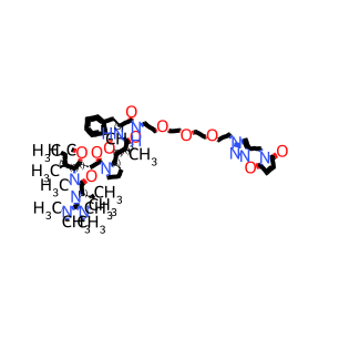 CC[C@H](C)[C@@H]([C@@H](CC(=O)N1CCC[C@H]1[C@H](OC)[C@@H](C)C(=O)N[C@@H](Cc1ccccc1)C(=O)NCCOCCOCCOCCn1cc(CN2C(=O)C=CC2=O)nn1)OC)N(C)C(=O)[C@@H](N=C(N(C)C)N(C)C)C(C)C